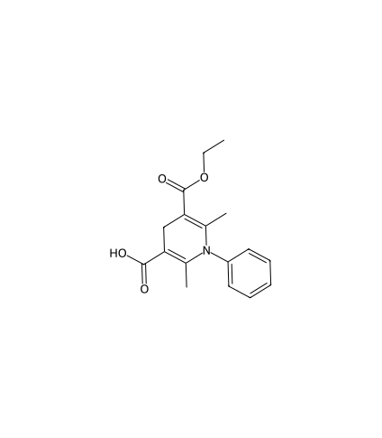 CCOC(=O)C1=C(C)N(c2ccccc2)C(C)=C(C(=O)O)C1